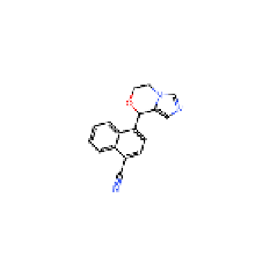 N#Cc1ccc(C2OCCn3cncc32)c2ccccc12